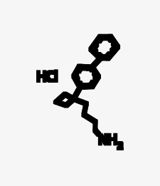 Cl.NCCCCC1(c2ccc(-c3ccccc3)cc2)CCC1